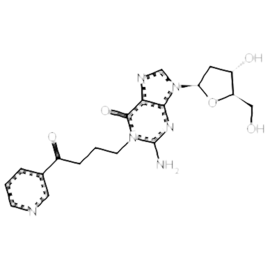 Nc1nc2c(ncn2[C@H]2C[C@H](O)[C@@H](CO)O2)c(=O)n1CCCC(=O)c1cccnc1